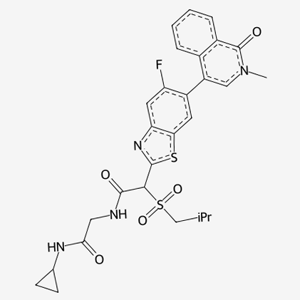 CC(C)CS(=O)(=O)C(C(=O)NCC(=O)NC1CC1)c1nc2cc(F)c(-c3cn(C)c(=O)c4ccccc34)cc2s1